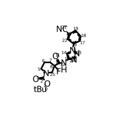 CC(C)(C)OC(=O)N1CCCC(F)(C(=O)Nc2cn(-c3cccc(C#N)c3)nn2)C1